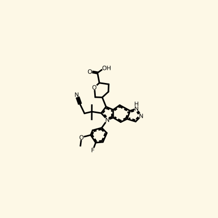 COc1cc(-n2c(C(C)(C)CC#N)c(C3CCC(C(=O)O)OC3)c3cc4[nH]ncc4cc32)ccc1F